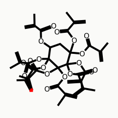 C=C(C)C(=O)OC1CC(OC(=O)C(=C)C)(OC(=O)C(=C)C)C(OC(=O)C(=C)C)(OC(=O)C(=C)C)C(OC(=O)C(=C)C)(OC(=O)C(=C)C)C1(OC(=O)C(=C)C)OC(=O)C(=C)C